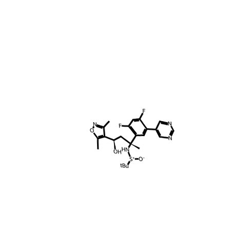 Cc1noc(C)c1[C@H](O)C[C@@](C)(N[S+]([O-])C(C)(C)C)c1cc(-c2cncnc2)c(F)cc1F